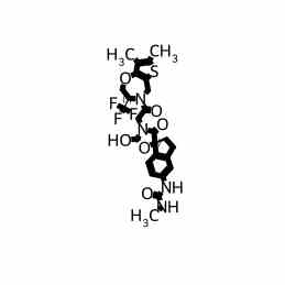 CNC(=O)Nc1ccc2c(c1)CC[C@]21OC(O)N(CC(=O)N2Cc3sc(C)c(C)c3OC[C@H]2C(F)(F)F)C1=O